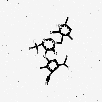 Cc1cc(C)c(Cn2cnc(C(F)(F)F)c(Oc3cc(C(F)F)cc(C#N)c3C)c2=O)c(=O)[nH]1